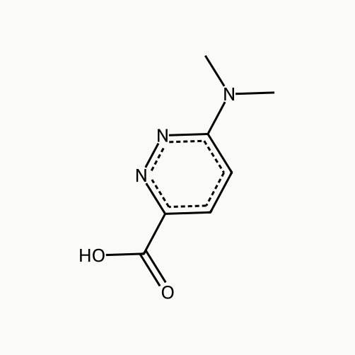 CN(C)c1ccc(C(=O)O)nn1